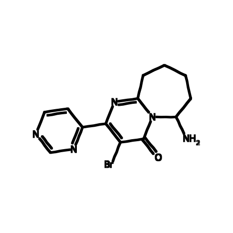 NC1CCCCc2nc(-c3ccncn3)c(Br)c(=O)n21